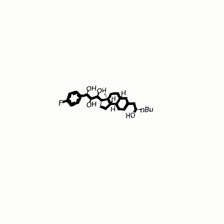 CCCC[C@H](O)CC1=CC[C@@H]2[C@H](CC[C@]3(C)[C@@H]([C@H](O)[C@@H](O)[C@@H](O)c4ccc(F)cc4)CC[C@@H]23)C1